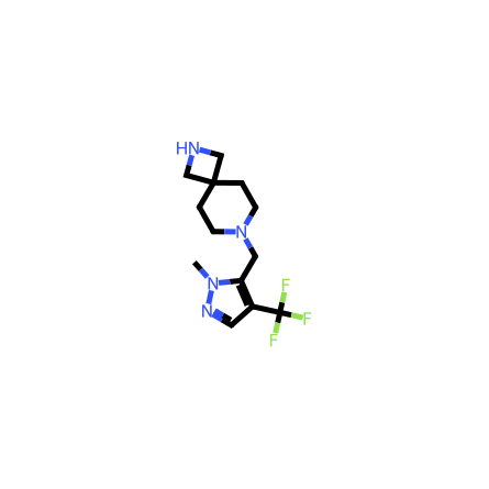 Cn1ncc(C(F)(F)F)c1CN1CCC2(CC1)CNC2